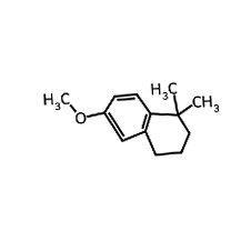 COc1ccc2c(c1)CCCC2(C)C